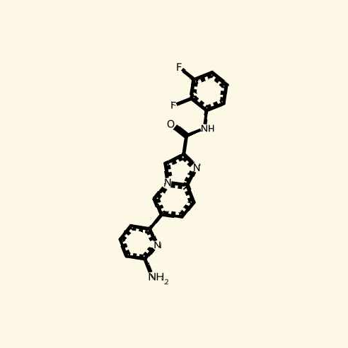 Nc1cccc(-c2ccc3nc(C(=O)Nc4cccc(F)c4F)cn3c2)n1